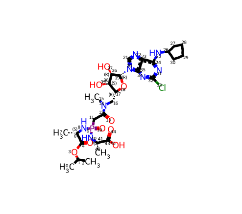 CC(C)OC(=O)[C@H](C)NP(=O)(CC(=O)N(C)C[C@H]1O[C@@H](n2cnc3c(NC4CCCC4)nc(Cl)nc32)[C@H](O)[C@@H]1O)N[C@@H](C)C(=O)O